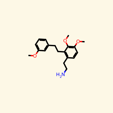 COc1cccc(CCc2c(CCN)ccc(OC)c2OC)c1